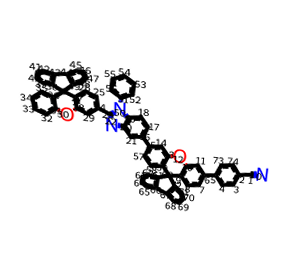 N#Cc1ccc(-c2ccc3c(c2)Oc2cc(-c4ccc5c(c4)nc(-c4ccc6c(c4)Oc4ccccc4C64c6ccccc6-c6ccccc64)n5-c4ccccc4)ccc2C32c3ccccc3-c3ccccc32)cc1